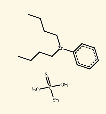 CCC[CH2][Zn]([CH2]CCC)[c]1ccccc1.OP(O)(=S)S